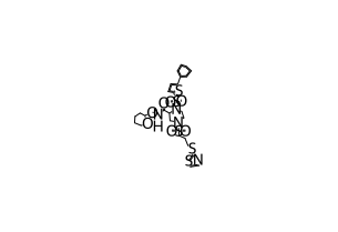 O=C(NOC1CCCCO1)C1CN(S(=O)(=O)CCCSc2nccs2)CCN1S(=O)(=O)c1ccc(-c2ccccc2)s1